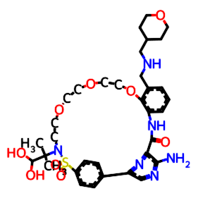 CC(C)(C(O)O)N1CCOCCOCCOc2c(CNCC3CCOCC3)cccc2NC(=O)c2nc(cnc2N)-c2ccc(cc2)S1(=O)=O